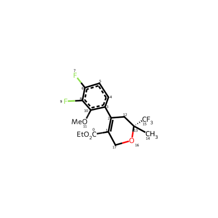 CCOC(=O)C1=C(c2ccc(F)c(F)c2OC)C[C@](C)(C(F)(F)F)OC1